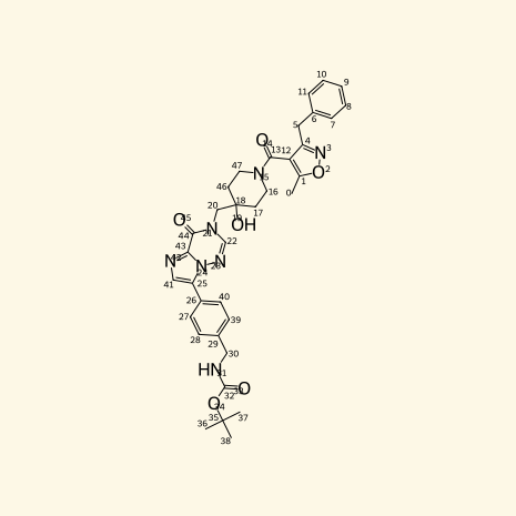 Cc1onc(Cc2ccccc2)c1C(=O)N1CCC(O)(Cn2cnn3c(-c4ccc(CNC(=O)OC(C)(C)C)cc4)cnc3c2=O)CC1